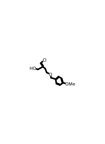 COc1ccc(COCC/C(=C\Cl)CO)cc1